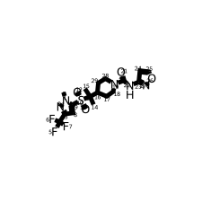 Cn1nc(C(F)(F)F)cc1S(=O)(=O)C(C)(C)C1CCN(C(=O)Nc2ccon2)CC1